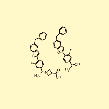 CC(O)c1ccc(-c2cc3cc(Cc4ccccc4)ccc3o2)c(F)c1.CC(c1ccc(-c2cc3cc(Cc4ccccc4)ccc3o2)c(F)c1)N1CC(C(=O)O)C1